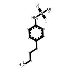 CCCCc1ccc(NS(=O)(=O)O)cc1